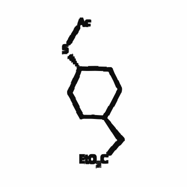 CCOC(=O)C[C@H]1CC[C@H](SC(C)=O)CC1